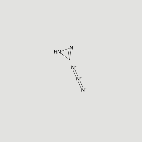 C1=NN1.[N-]=[N+]=[N-]